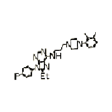 CCc1nc2c(NCCCN3CCN(c4cccc(C)c4C)CC3)ncnc2n1-c1ccc(F)cc1